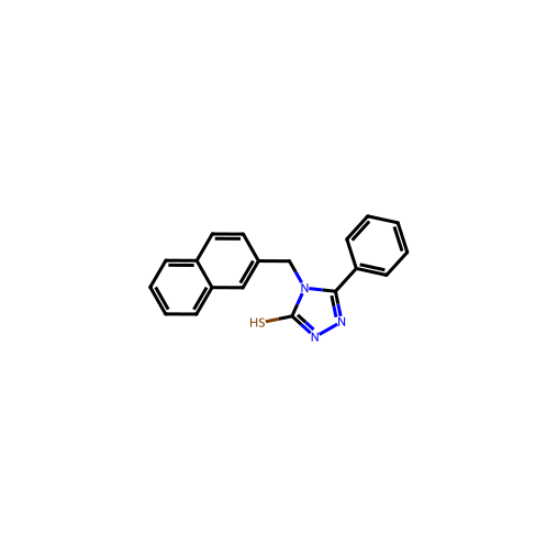 Sc1nnc(-c2ccccc2)n1Cc1ccc2ccccc2c1